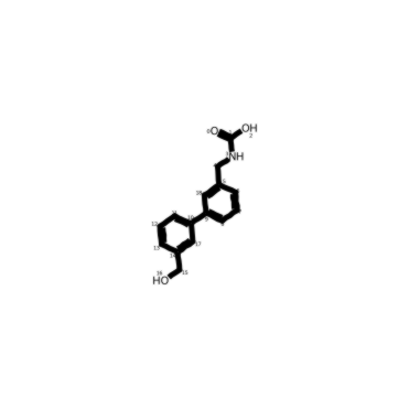 O=C(O)NCc1cccc(-c2cccc(CO)c2)c1